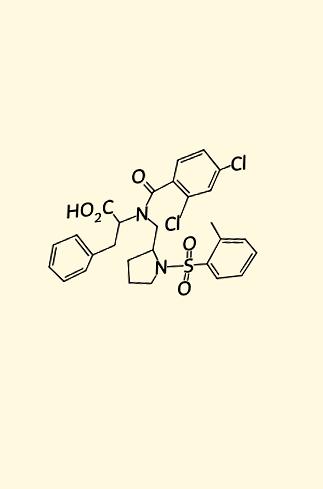 Cc1ccccc1S(=O)(=O)N1CCCC1CN(C(=O)c1ccc(Cl)cc1Cl)C(Cc1ccccc1)C(=O)O